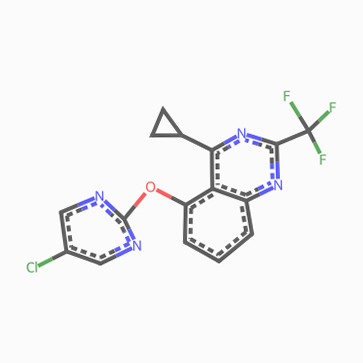 FC(F)(F)c1nc(C2CC2)c2c(Oc3ncc(Cl)cn3)cccc2n1